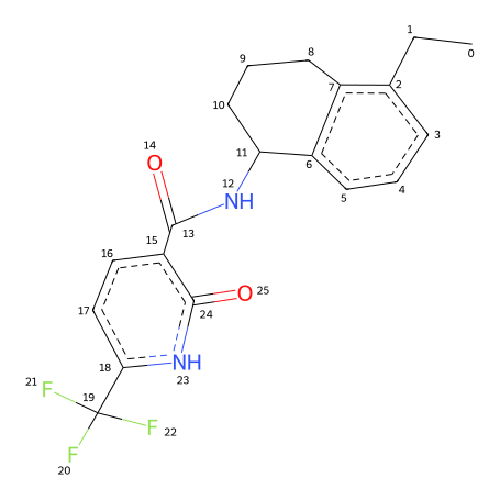 CCc1cccc2c1CCCC2NC(=O)c1ccc(C(F)(F)F)[nH]c1=O